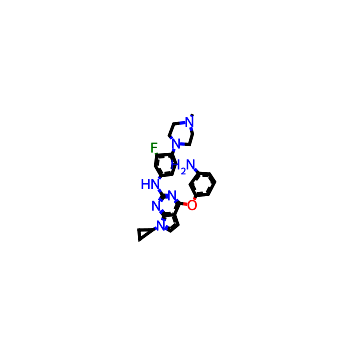 CN1CCN(c2ccc(Nc3nc(Oc4cccc(N)c4)c4ccn(C5CC5)c4n3)cc2F)CC1